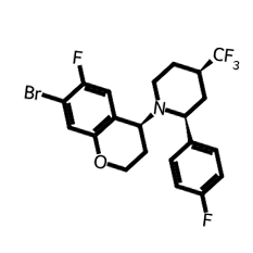 Fc1ccc([C@@H]2C[C@H](C(F)(F)F)CCN2[C@H]2CCOc3cc(Br)c(F)cc32)cc1